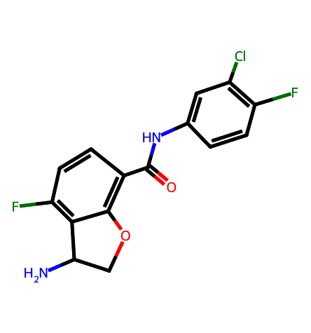 NC1COc2c(C(=O)Nc3ccc(F)c(Cl)c3)ccc(F)c21